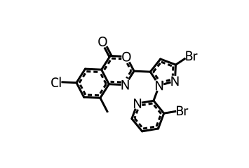 Cc1cc(Cl)cc2c(=O)oc(-c3cc(Br)nn3-c3ncccc3Br)nc12